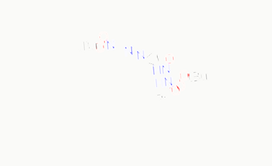 CC(C)CC(=O)NC(CNC(=O)c1ccc(N2CCN(C3CCN(C(=O)OC(C)(C)C)CC3)CC2)cc1)C(=O)OC(C)(C)C